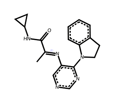 C/C(=N\c1cncnc1N1CCc2ccccc21)C(=O)NC1CC1